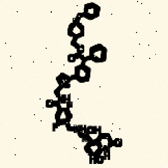 O=C(NCc1ccc(-c2cccc(C(C(=O)OCC3CCN(Cc4ccccc4)CC3)c3ccccc3)c2)s1)c1cc(F)c(CNC[C@H](O)c2ccc(O)c3[nH]c(=O)ccc23)cc1F